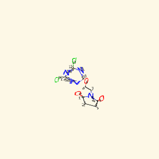 O=C1CCC(=O)N1CCOc1nc(Cl)nc(Cl)n1